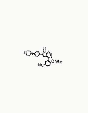 COc1ccc(C#N)cc1-c1ncnc2[nH]c(-c3ccc(N4CCOCC4)cc3)cc12